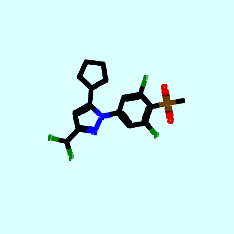 CS(=O)(=O)c1c(F)cc(-n2nc(C(F)F)cc2C2CCCC2)cc1F